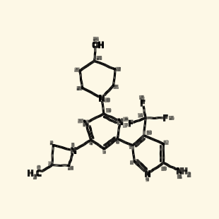 CC1CN(c2cc(-c3cnc(N)cc3C(F)(F)F)nc(N3CCC(O)CC3)n2)C1